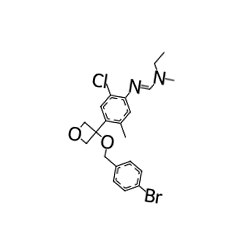 CCN(C)C=Nc1cc(C)c(C2(OCc3ccc(Br)cc3)COC2)cc1Cl